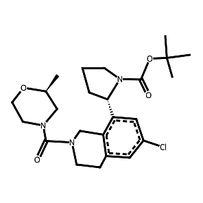 C[C@H]1CN(C(=O)N2CCc3cc(Cl)cc([C@@H]4CCCN4C(=O)OC(C)(C)C)c3C2)CCO1